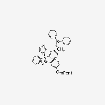 C=CB(c1ccccc1)c1ccccc1.CCCCCOc1cccc([SiH2]C(c2ccccc2)(c2ccccc2)n2ccnc2)c1